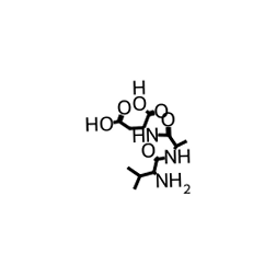 CC(NC(=O)C(N)C(C)C)C(=O)NC(CC(=O)O)C(=O)O